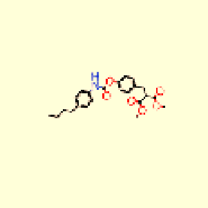 CCCCc1ccc(NC(=O)Oc2ccc(CC(C(=O)OC)C(=O)OC)cc2)cc1